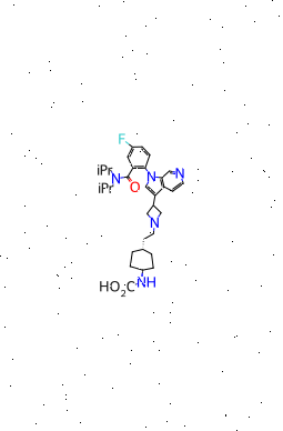 CC(C)N(C(=O)c1cc(F)ccc1-n1cc(C2CN(CC[C@H]3CC[C@H](NC(=O)O)CC3)C2)c2ccncc21)C(C)C